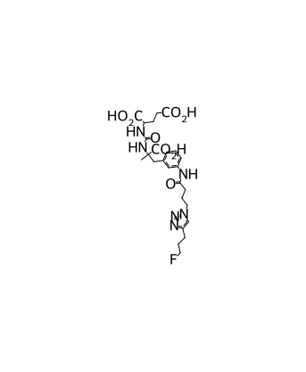 CC(Cc1cccc(NC(=O)CCCn2cc(CCCF)nn2)c1)(NC(=O)NC(CCC(=O)O)C(=O)O)C(=O)O